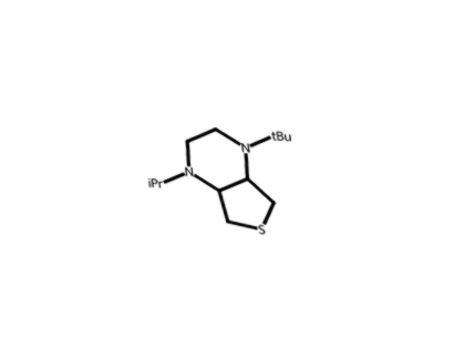 CC(C)N1CCN(C(C)(C)C)C2CSCC21